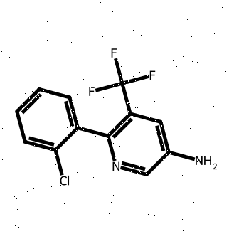 Nc1cnc(-c2ccccc2Cl)c(C(F)(F)F)c1